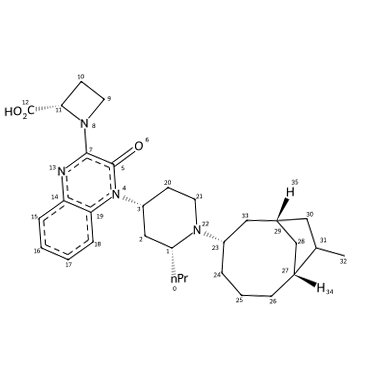 CCC[C@@H]1C[C@H](n2c(=O)c(N3CC[C@H]3C(=O)O)nc3ccccc32)CCN1[C@H]1CCC[C@@H]2C[C@@H](CC2C)C1